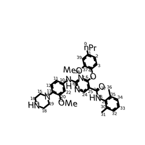 CCCc1ccc(Oc2nc(Nc3ccc(N4CCNCC4)c(OC)c3)ncc2C(=O)Nc2c(C)cccc2C)c(OC)c1